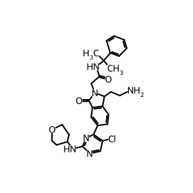 CC(C)(NC(=O)CN1C(=O)c2cc(-c3nc(NC4CCOCC4)ncc3Cl)ccc2C1CCN)c1ccccc1